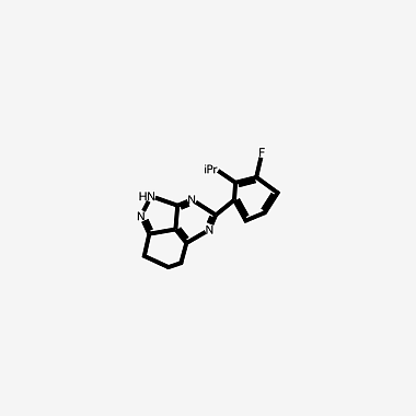 CC(C)c1c(F)cccc1-c1nc2c3c(n[nH]c3n1)CCC2